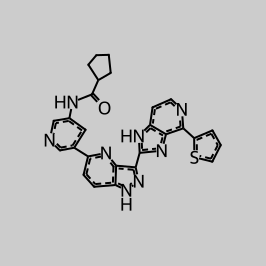 O=C(Nc1cncc(-c2ccc3[nH]nc(-c4nc5c(-c6cccs6)nccc5[nH]4)c3n2)c1)C1CCCC1